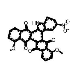 COc1cccc2c(=O)c3c4[nH]c5ccc([N+](=O)[O-])cc5c4c4c(=O)c5c(OC)cccc5c(=O)c4c3c(=O)c12